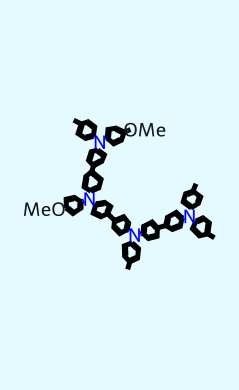 COc1ccc(N(c2ccc(C)cc2)c2ccc(-c3ccc(N(c4ccc(OC)cc4)c4ccc(-c5ccc(N(c6ccc(C)cc6)c6ccc(-c7ccc(N(c8ccc(C)cc8)c8ccc(C)cc8)cc7)cc6)cc5)cc4)cc3)cc2)cc1